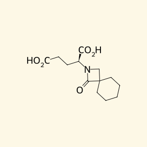 O=C(O)CC[C@@H](C(=O)O)N1CC2(CCCCC2)C1=O